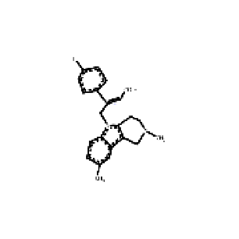 Cc1ccc2c(c1)c1c(n2C/C(=C/C(=O)O)c2ccc(F)cc2)CCN(C)C1